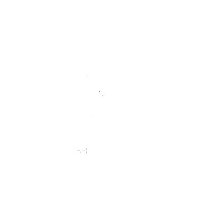 B.CC(C)(C)N(C(C)(C)C)C(C)(C)C